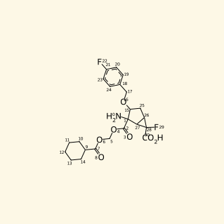 NC1(C(=O)OCOC(=O)C2CCCCC2)C(OCc2ccc(F)cc2)CC2C1C2(F)C(=O)O